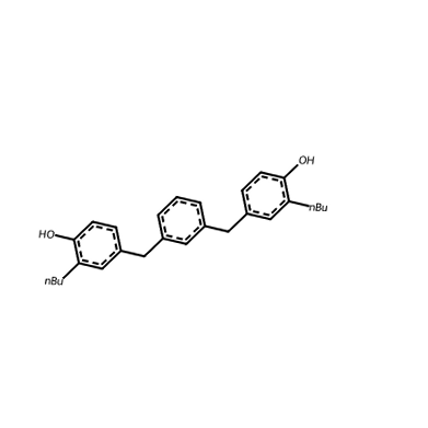 CCCCc1cc(Cc2cccc(Cc3ccc(O)c(CCCC)c3)c2)ccc1O